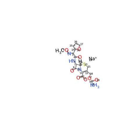 CON=C(C(=O)NC1C(=O)N2C(C(=O)[O-])=C(COC(N)=O)CS[C@@H]12)c1ccco1.[Na+]